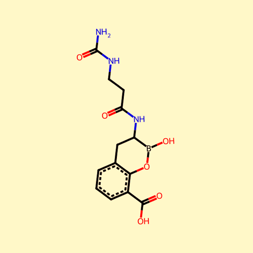 NC(=O)NCCC(=O)NC1Cc2cccc(C(=O)O)c2OB1O